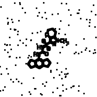 Cn1nc(S(=O)(=O)NC(=O)Nc2c3c(cc4c2CCC4)CCC3)c2c1CCCO2